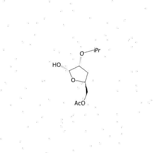 CC(=O)OC[C@@H]1C[C@@H](OC(C)C)[C@@H](O)O1